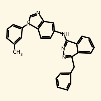 Cc1cccc(-n2cnc3cc(Nc4nnc(Cc5ccccc5)c5ccccc45)ccc32)c1